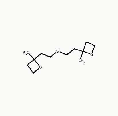 CC1(CCOCCC2(C)CCO2)CCO1